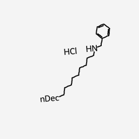 CCCCCCCCCCCCCCCCCCCNCc1ccccc1.Cl